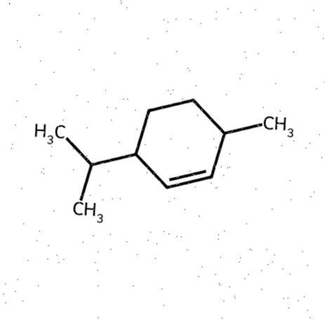 CC1C=CC(C(C)C)CC1